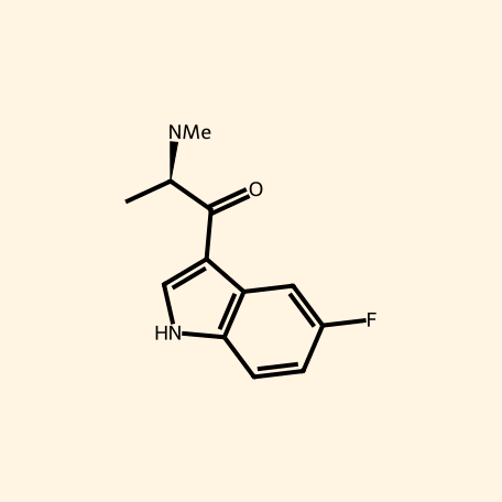 CN[C@H](C)C(=O)c1c[nH]c2ccc(F)cc12